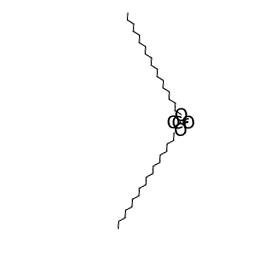 CCCCCCCCCCCCCCCCCC[O][Cr](=[O])(=[O])[O]CCCCCCCCCCCCCCCCCC